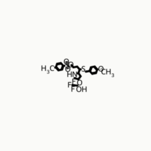 COc1ccc(CSC(CCOS(=O)(=O)c2ccc(C)cc2)C2CCCN2)cc1.O=C(O)C(F)(F)F